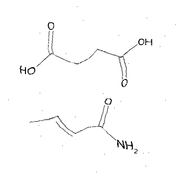 CC=CC(N)=O.O=C(O)CCC(=O)O